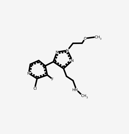 CNCCc1nn(CCOC)nc1-c1ccnc(Cl)c1F